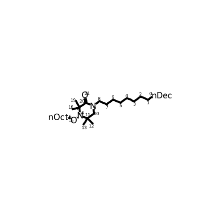 CCCCCCCCCCCCCCCCCCN1CC(C)(C)N(OCCCCCCCC)C(C)(C)C1=O